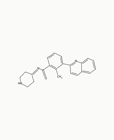 Cc1c(C(=O)N=C2CCNCC2)cccc1-c1ccc2ccccc2n1